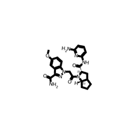 COc1ccc2c(c1)c(C(N)=O)nn2CC(=O)N1[C@H](C(=O)Nc2cccc(N)n2)CC2CCC[C@@H]21